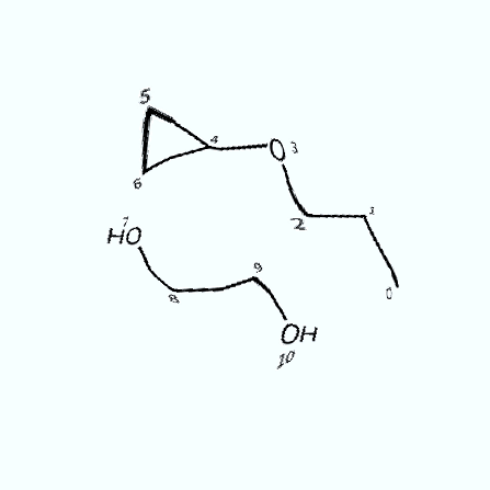 CCCOC1CC1.OCCO